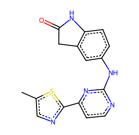 Cc1cnc(-c2ccnc(Nc3ccc4c(c3)CC(=O)N4)n2)s1